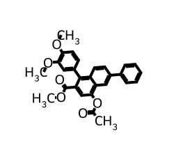 COC(=O)c1cc(OC(C)=O)c2cc(-c3ccccc3)ccc2c1-c1ccc(OC)c(OC)c1